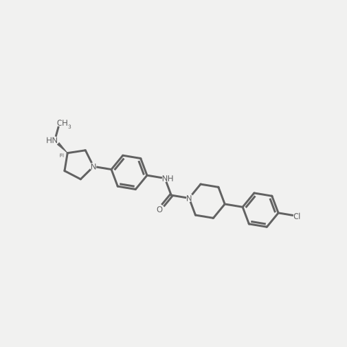 CN[C@@H]1CCN(c2ccc(NC(=O)N3CCC(c4ccc(Cl)cc4)CC3)cc2)C1